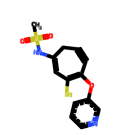 CS(=O)(=O)NC1=CC(S)=C(Oc2cccnc2)C#CC1